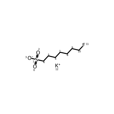 O=S(=O)([O-])CCCCCCCF.[K+]